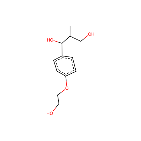 CC(CO)C(O)c1ccc(OCCO)cc1